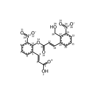 O=C(O)/C=C/c1cccc([N+](=O)[O-])c1OC(=O)/C=C/c1cccc([N+](=O)[O-])c1CO